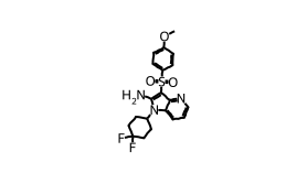 COc1ccc(S(=O)(=O)c2c(N)n(C3CCC(F)(F)CC3)c3cccnc23)cc1